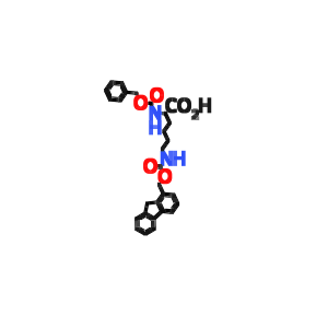 O=C(NCCCC[C@@H](NC(=O)OCc1ccccc1)C(=O)O)OCc1cccc2c1Cc1ccccc1-2